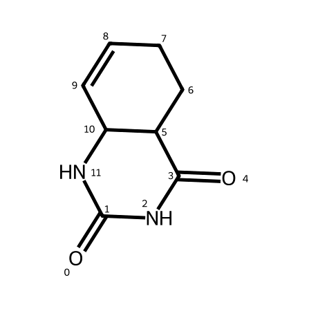 O=C1NC(=O)C2CCC=CC2N1